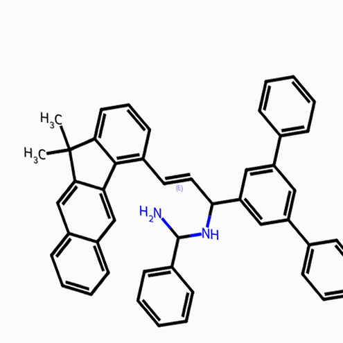 CC1(C)c2cc3ccccc3cc2-c2c(/C=C/C(NC(N)c3ccccc3)c3cc(-c4ccccc4)cc(-c4ccccc4)c3)cccc21